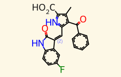 Cc1c(C(=O)O)[nH]c(/C=C2\C(=O)Nc3ccc(F)cc32)c1C(=O)c1ccccc1